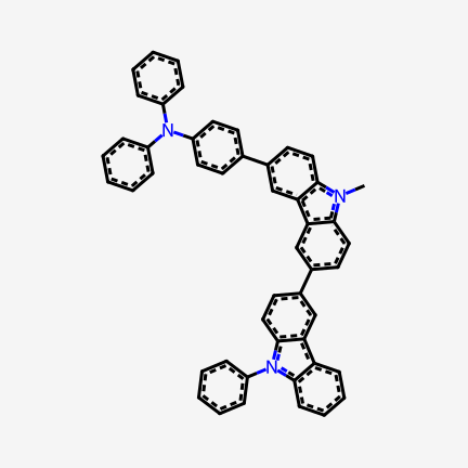 Cn1c2ccc(-c3ccc(N(c4ccccc4)c4ccccc4)cc3)cc2c2cc(-c3ccc4c(c3)c3ccccc3n4-c3ccccc3)ccc21